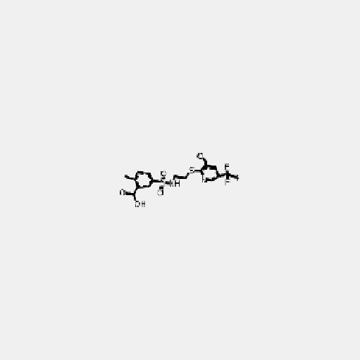 Cc1ccc(S(=O)(=O)NCCSc2ncc(C(F)(F)F)cc2Cl)cc1C(=O)O